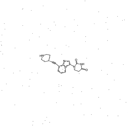 O=C1CCN(c2cnc3c(C#CC4CCNCC4)cccn23)C(=O)N1